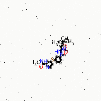 CNC(=O)c1cc(Sc2cccc(N(C=O)Nc3cc(C(C)(C)C)on3)c2)ccn1